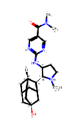 CN(C)C(=O)c1cnc(NC2CCN(C(=O)O)[C@@H]2C2C3CC4C[C@H]2C[C@@](O)(C4)C3)nc1